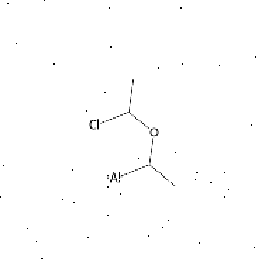 C[CH]([Al])OC(C)Cl